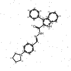 O=C(NN=Cc1ccc(N2CCCC2)cc1)c1[nH]c2ccccc2c1-c1ccccc1